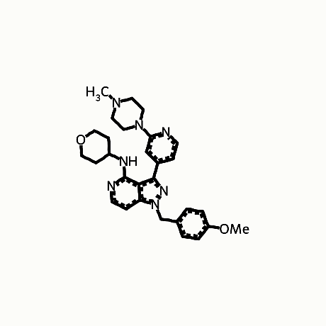 COc1ccc(Cn2nc(-c3ccnc(N4CCN(C)CC4)c3)c3c(NC4CCOCC4)nccc32)cc1